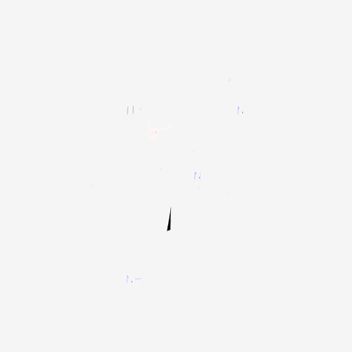 COc1ccnc2ccn([C@@H](CCN)c3ccccc3)c12